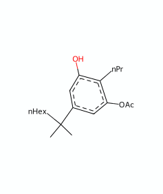 CCCCCCC(C)(C)c1cc(O)c(CCC)c(OC(C)=O)c1